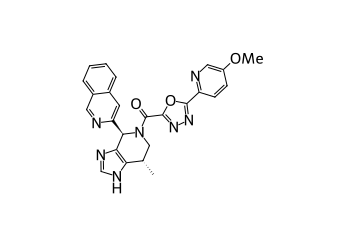 COc1ccc(-c2nnc(C(=O)N3C[C@H](C)c4[nH]cnc4[C@H]3c3cc4ccccc4cn3)o2)nc1